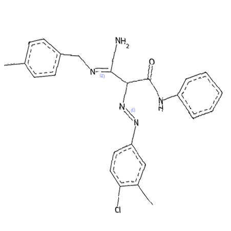 Cc1ccc(C/N=C(\N)C(/N=N/c2ccc(Cl)c(C)c2)C(=O)Nc2ccccc2)cc1